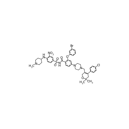 CN1CCC(Nc2ccc(S(=O)(=O)NC(=O)c3ccc(N4CCN(CC5=C(c6ccc(Cl)cc6)CC(C)(C)OC5)CC4)cc3Oc3cccc(Br)c3)cc2[N+](=O)[O-])CC1